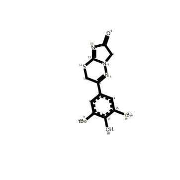 CC(C)(C)c1cc(C2=NN3CC(=O)N=C3SC2)cc(C(C)(C)C)c1O